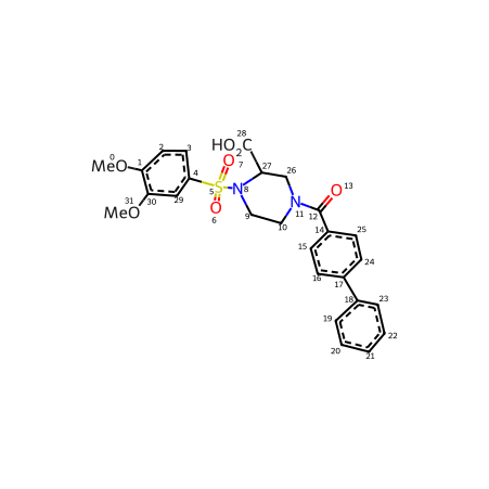 COc1ccc(S(=O)(=O)N2CCN(C(=O)c3ccc(-c4ccccc4)cc3)CC2C(=O)O)cc1OC